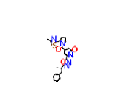 Cc1csc([C@H]2CCCN2C(=O)c2cc(-c3nnc([C@@H](C)Cc4ccccc4)o3)n(C)c(=O)c2)n1